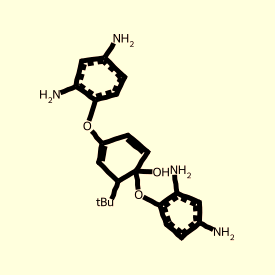 CC(C)(C)C1C=C(Oc2ccc(N)cc2N)C=CC1(O)Oc1ccc(N)cc1N